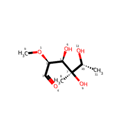 CO[C@H](C=O)[C@@H](O)[C@](C)(O)[C@@H](C)O